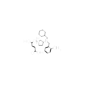 Cc1ccccc1CN(CC1CCCCC1)[C@H]1CCNC1.O=C(O)C=CC(=O)O